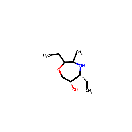 CCC1OC[C@@H](O)[C@@H](CC)NC1C